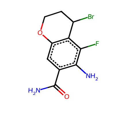 NC(=O)c1cc2c(c(F)c1N)C(Br)CCO2